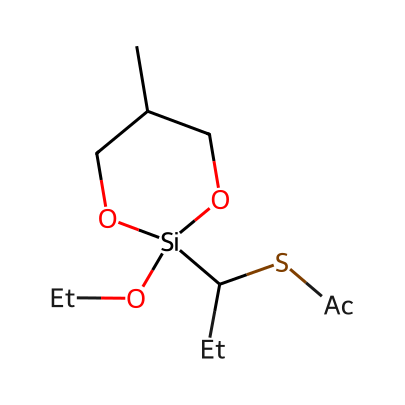 CCO[Si]1(C(CC)SC(C)=O)OCC(C)CO1